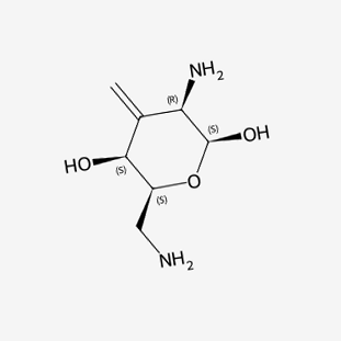 C=C1[C@@H](N)[C@@H](O)O[C@@H](CN)[C@H]1O